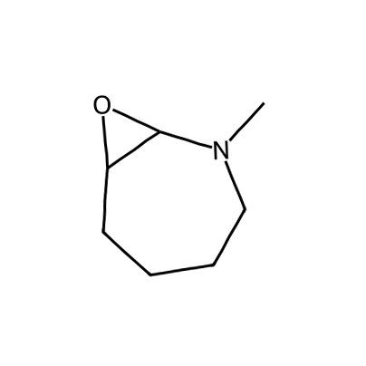 CN1CCCCC2OC21